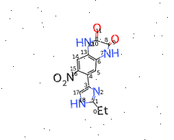 CCc1nc(-c2cc3[nH]c(=O)c(=O)[nH]c3cc2[N+](=O)[O-])c[nH]1